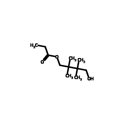 CCC(=O)OCC(C)(C)C(C)(C)CO